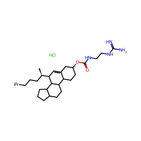 CC(C)CCC[C@@H](C)C1C=C2CC(OC(=O)NCCNC(=N)N)CCC2C2CCC3CCCC3C21.Cl